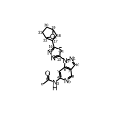 CC(=O)Nc1cc2c(cn1)cnn2-c1nnc(C2CC3CCC2O3)s1